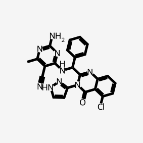 Cc1nc(N)nc(NC(c2ccccc2)c2nc3cccc(Cl)c3c(=O)n2-c2cc[nH]n2)c1C#N